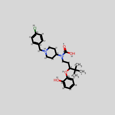 CC(C)(C)C(CCN(C(=O)O)C1CCN(Cc2ccc(Cl)cc2)CC1)Oc1ccccc1O